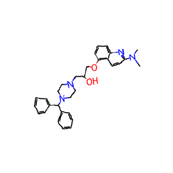 CN(C)c1ccc2c(OCC(O)CN3CCN(C(c4ccccc4)c4ccccc4)CC3)cccc2n1